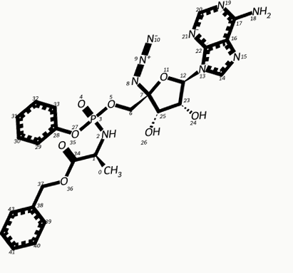 C[C@H](NP(=O)(OC[C@@]1(N=[N+]=[N-])O[C@@H](n2cnc3c(N)ncnc32)[C@H](O)[C@@H]1O)Oc1ccccc1)C(=O)OCc1ccccc1